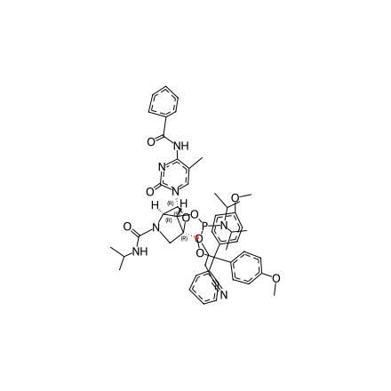 COc1ccc(C(OC[C@@]23CN(C(=O)NC(C)C)[C@@H]([C@H](n4cc(C)c(NC(=O)c5ccccc5)nc4=O)O2)[C@@H]3OP(OCCC#N)N(C(C)C)C(C)C)(c2ccccc2)c2ccc(OC)cc2)cc1